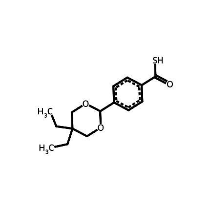 CCC1(CC)COC(c2ccc(C(=O)S)cc2)OC1